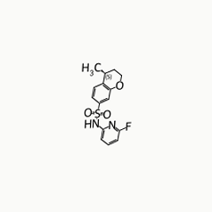 C[C@H]1CCOc2cc(S(=O)(=O)Nc3cccc(F)n3)ccc21